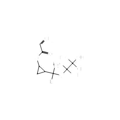 C=CC(=O)OC1CC1C(CC)(CC)OC(C)(C)C(O)(C(F)(F)F)C(F)(F)F